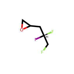 FC[C@](F)(I)CC1CO1